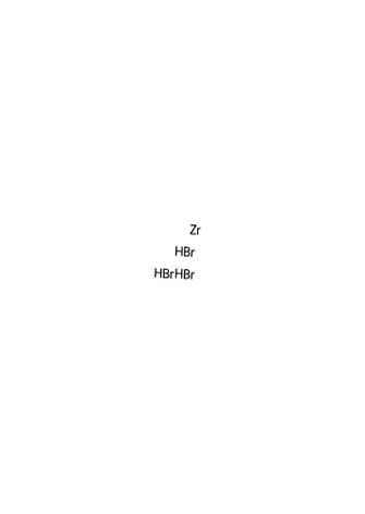 Br.Br.Br.[Zr]